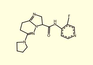 O=C(Nc1ccncc1F)C1CN=C2CCC(N3CCCC3)=NN21